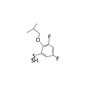 CC(C)COc1c(F)cc(F)cc1SS